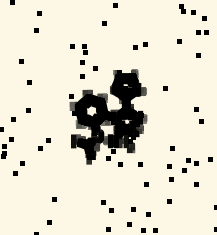 Nc1nnc(-c2cccs2)n1-c1ccccc1OC(F)F